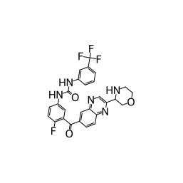 O=C(Nc1cccc(C(F)(F)F)c1)Nc1ccc(F)c(C(=O)c2ccc3nc(C4COCCN4)cnc3c2)c1